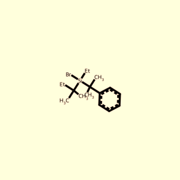 CCC(C)(C)[Si](Br)(CC)C(C)(C)c1ccccc1